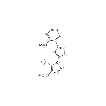 CCOC(=O)c1cnn(-c2nc(-c3ccccc3OC)cs2)c1C